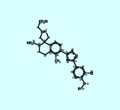 CCOC(=O)CCCC1(CC(C)C)c2ccc(-c3noc(-c4cnc(OC(C)C)c(Cl)c4)n3)c(C)c2CCN1C(=O)O